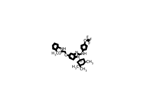 Cc1ccccc1NC(=O)COc1ccc2c(c1)nc(Nc1ccc(OC(F)(F)F)cc1)n2[C@@H]1C[C@H](C)CC(C)(C)C1